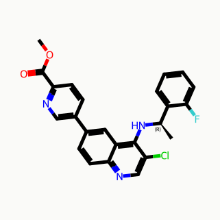 COC(=O)c1ccc(-c2ccc3ncc(Cl)c(N[C@H](C)c4ccccc4F)c3c2)cn1